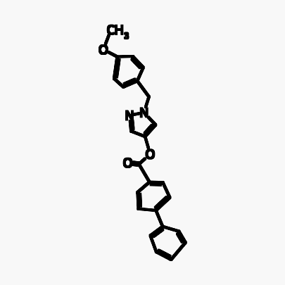 COc1ccc(Cn2cc(OC(=O)c3ccc(-c4ccccc4)cc3)cn2)cc1